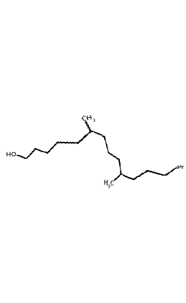 CC(C)CCCC(C)CCCC(C)CCCCCO